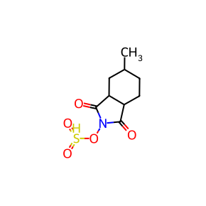 CC1CCC2C(=O)N(O[SH](=O)=O)C(=O)C2C1